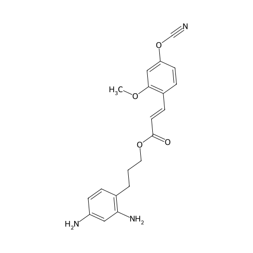 COc1cc(OC#N)ccc1/C=C/C(=O)OCCCc1ccc(N)cc1N